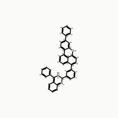 c1ccc(C2=c3ccccc3=NC(c3cccc(-c4ccc5c6c(cccc46)-c4ccc(-c6ccccc6)cc4O5)c3)N2)cc1